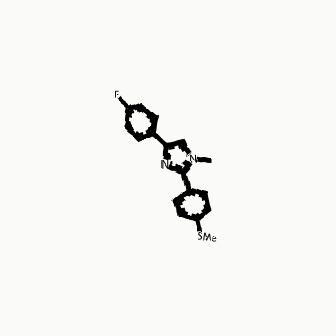 CSc1ccc(-c2nc(-c3ccc(F)cc3)cn2C)cc1